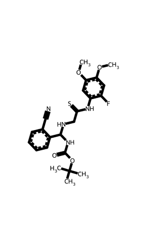 COc1cc(F)c(NC(=S)CNC(NC(=O)OC(C)(C)C)c2ccccc2C#N)cc1OC